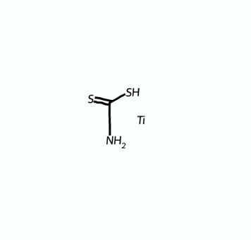 NC(=S)S.[Ti]